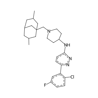 CC1CC2CC(C)CC(CN3CCC(Nc4ccc(-c5cc(F)ccc5Cl)nn4)CC3)(C1)C2